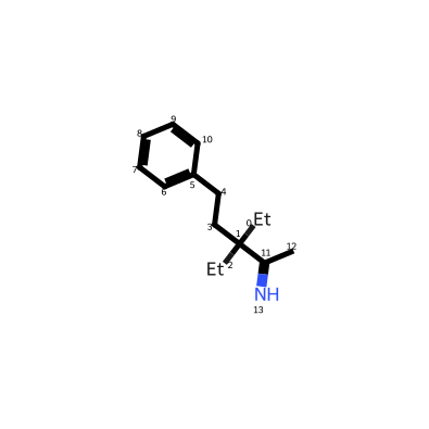 CCC(CC)(CCc1ccccc1)C(C)=N